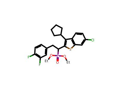 CCOP(=O)(OCC)C(Cc1ccc(F)c(F)c1)c1sc2cc(Cl)ccc2c1C1CCCC1